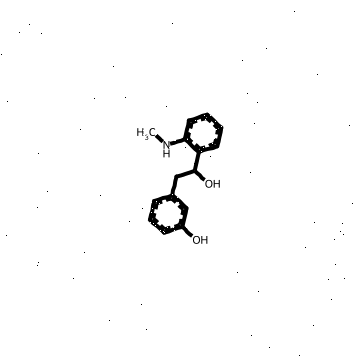 CNc1ccccc1C(O)Cc1cccc(O)c1